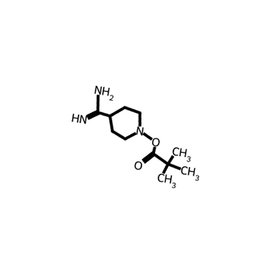 CC(C)(C)C(=O)ON1CCC(C(=N)N)CC1